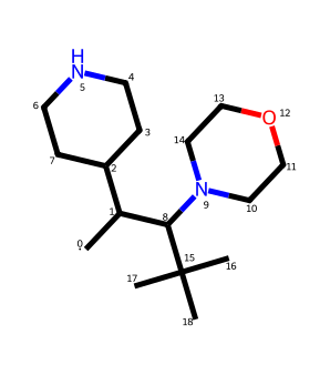 [CH2]C(C1CCNCC1)C(N1CCOCC1)C(C)(C)C